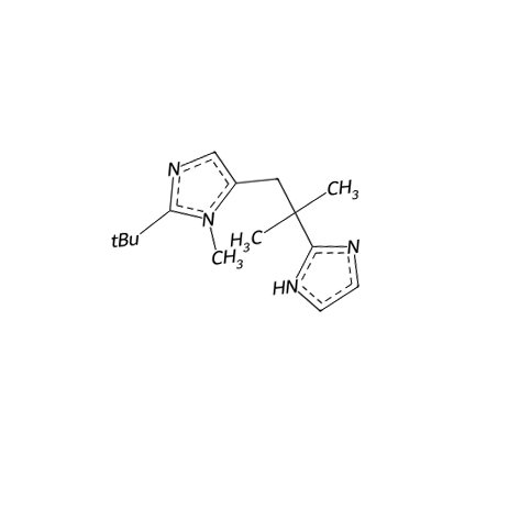 Cn1c(CC(C)(C)c2ncc[nH]2)cnc1C(C)(C)C